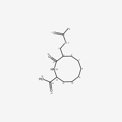 CC(=O)SCC1CCCCCCC(C(=O)O)NC1=O